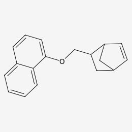 C1=CC2CC1CC2COc1cccc2ccccc12